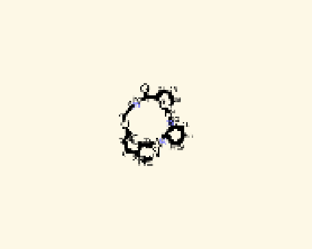 O=C1/N=C\COc2ccc3ncnc(c3c2)/N=c2/cccc/c2=C/N2C=CC=C1C2